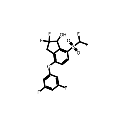 O=S(=O)(c1ccc(Oc2cc(F)cc(F)c2)c2c1C(O)C(F)(F)C2)C(F)F